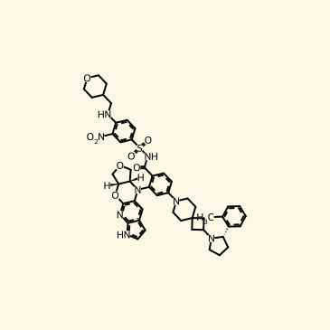 Cc1ccccc1[C@@H]1CCCN1C1CC2(CCN(c3ccc(C(=O)NS(=O)(=O)c4ccc(NCC5CCOCC5)c([N+](=O)[O-])c4)c(N4c5cc6cc[nH]c6nc5O[C@@H]5COC[C@@H]54)c3)CC2)C1